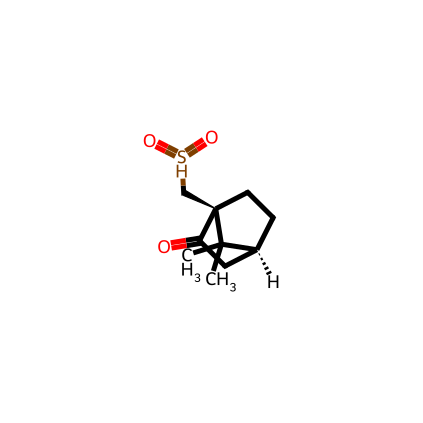 CC1(C)[C@H]2CC[C@@]1(C[SH](=O)=O)C(=O)C2